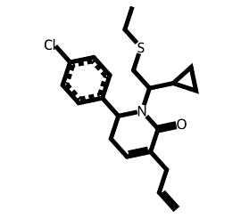 C=CCC1=CCC(c2ccc(Cl)cc2)N(C(CSCC)C2CC2)C1=O